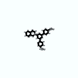 CC(C)(C)c1ccc(-c2cc(-c3ccc(C(C)(C)C)cc3)cc(N3C=Cc4ccccc4C3)c2)cc1